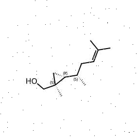 CC(C)=CC[C@H](C)[C@H]1C[C@]1(C)CO